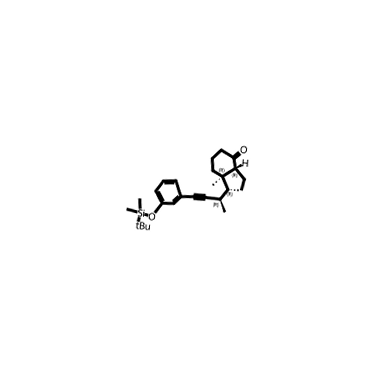 C[C@@H](C#Cc1cccc(O[Si](C)(C)C(C)(C)C)c1)[C@H]1CC[C@H]2C(=O)CCC[C@]12C